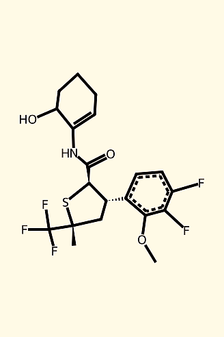 COc1c([C@@H]2C[C@](C)(C(F)(F)F)S[C@H]2C(=O)NC2=CCCCC2O)ccc(F)c1F